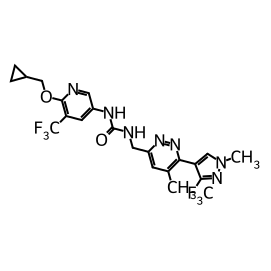 Cc1cc(CNC(=O)Nc2cnc(OCC3CC3)c(C(F)(F)F)c2)nnc1-c1cn(C)nc1C(F)(F)F